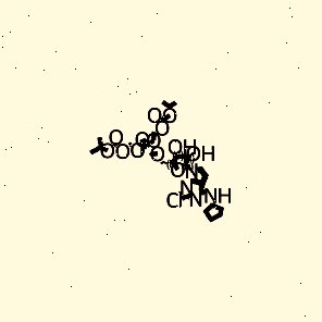 CC(C)OC(=O)OCOP(=O)(COC[C@H]1O[C@@H](n2ccc3c(NC4CCCC4)nc(Cl)nc32)[C@H](O)[C@@H]1O)OCOC(=O)OC(C)C